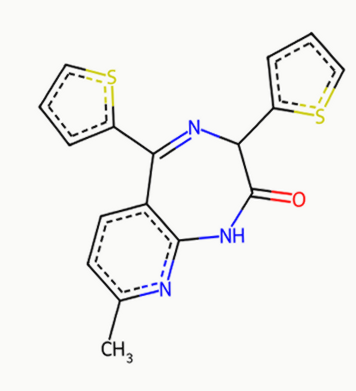 Cc1ccc2c(n1)NC(=O)C(c1cccs1)N=C2c1cccs1